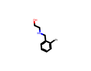 CC(C)c1ccccc1CNCCO